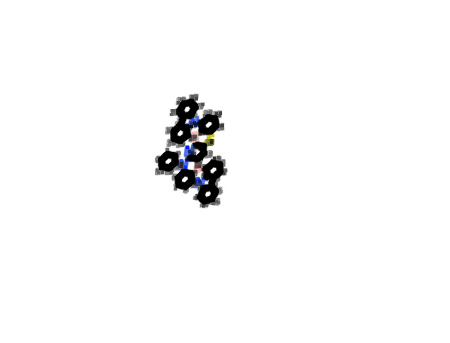 c1ccc(N2c3cccc4c3B(c3cc5c(nc32)B2c3c(cccc3-n3c6ccccc6c6cccc2c63)S5)c2cccc3c5ccccc5n-4c23)cc1